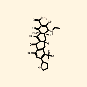 CCN[C@@H]1C(O)=C(C(N)=O)C(=O)[C@@]2(O)C(O)=C3C(=O)c4c(O)cc(C5CCCN5)c(C(F)(F)F)c4C[C@H]3C[C@@H]12